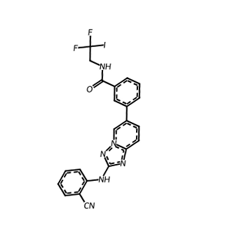 N#Cc1ccccc1Nc1nc2ccc(-c3cccc(C(=O)NCC(F)(F)I)c3)cn2n1